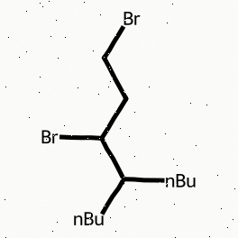 CCCC[C](CCCC)C(Br)CCBr